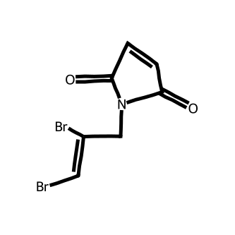 O=C1C=CC(=O)N1C/C(Br)=C/Br